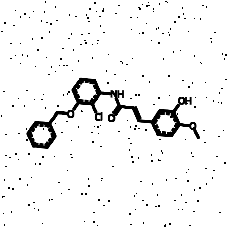 COc1ccc(/C=C/C(=O)Nc2cccc(OCc3ccccc3)c2Cl)cc1O